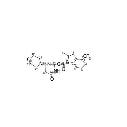 CC1Cc2c(cccc2C(F)(F)F)N1C(=O)Cc1nc(N2CCOCC2)cc(=O)[nH]1